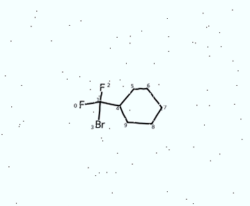 FC(F)(Br)C1CC[CH]CC1